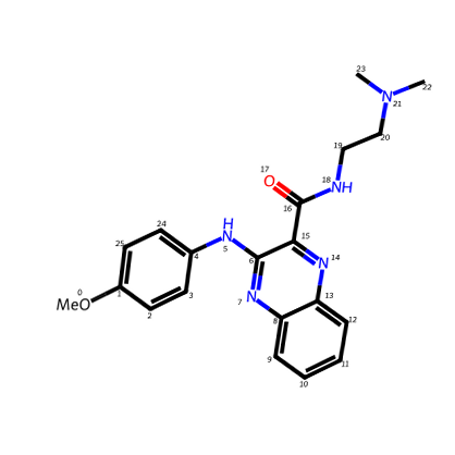 COc1ccc(Nc2nc3ccccc3nc2C(=O)NCCN(C)C)cc1